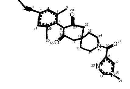 CC#Cc1cc(C)c(C2C(=O)CC3(CCN(C(=O)c4cn(C)cn4)CC3)CC2=O)c(C)c1